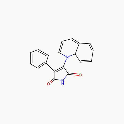 O=C1NC(=O)C(N2C=CC=C3C=CC=CC32)=C1c1ccccc1